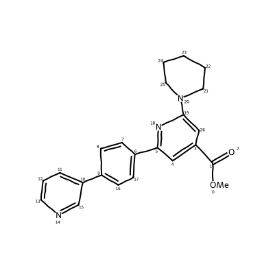 COC(=O)c1cc(-c2ccc(-c3cccnc3)cc2)nc(N2CCCCC2)c1